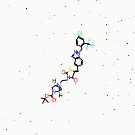 CC(C)(C)OC(=O)N1C[C@@H]2C[C@H]1CN2CCN1C(=O)SC(=Cc2ccc3c(cnn3Cc3ccc(Cl)cc3C(F)(F)F)c2)C1=O